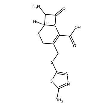 Nc1nnc(SCC2=C(C(=O)O)N3C(=O)C(N)[C@@H]3SC2)s1